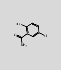 [CH2]c1ccc(Cl)cc1C(N)=O